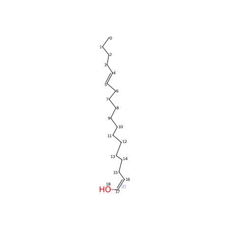 CCCCC=CCCCCCCCCCC/C=C\O